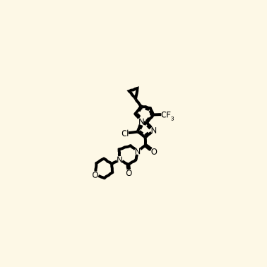 O=C(c1nc2c(C(F)(F)F)cc(C3CC3)cn2c1Cl)N1CCN(C2CCOCC2)C(=O)C1